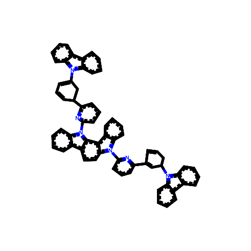 C1=CC(c2cccc(-n3c4ccccc4c4ccc5c(c6ccccc6n5-c5cccc(C6=CC(n7c8ccccc8c8ccccc87)CC=C6)n5)c43)n2)CC(n2c3ccccc3c3ccccc32)=C1